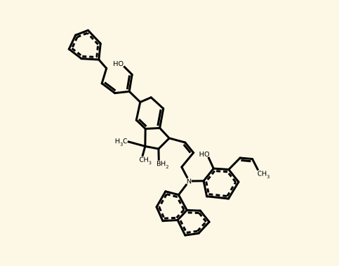 BC1C(/C=C\CN(c2cccc(/C=C\C)c2O)c2cccc3ccccc23)C2=CCC(C(/C=C\Cc3ccccc3)=C/O)C=C2C1(C)C